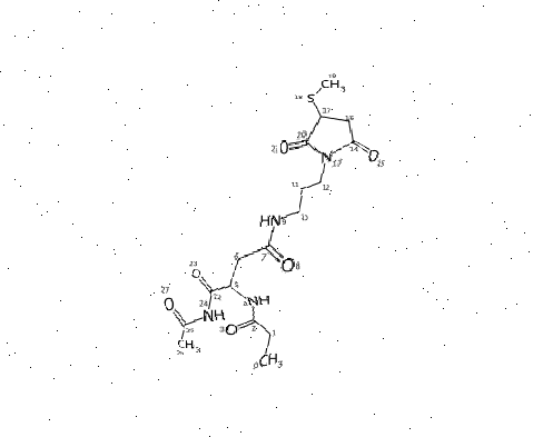 CCC(=O)NC(CC(=O)NCCCN1C(=O)CC(SC)C1=O)C(=O)NC(C)=O